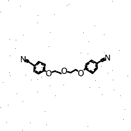 N#Cc1ccc(OCCOCCOc2ccc(C#N)cc2)cc1